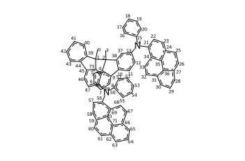 CC1(C2(C)c3ccccc3-c3ccc(N(c4ccccc4)c4ccc5ccc6cccc7ccc4c5c67)cc32)c2ccccc2-c2ccc(N(c3ccccc3)c3ccc4ccc5cccc6ccc3c4c56)cc21